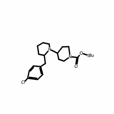 CC(C)(C)OC(=O)N1CCC(N2CCCCC2Cc2ccc(Cl)cc2)CC1